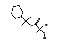 CC(C)(C)CC(C)(C(=O)OC(C)(C)C1CCCCC1)C(C)(C)C